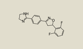 Fc1cccc(F)c1C1CC(c2ccc(C3=NCCN3)cc2)=NO1